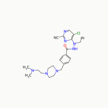 CC(C)CN(NC(=O)c1ccc(CN2CCN(CCN(C)C)CC2)cc1)c1nc(C#N)ncc1Cl